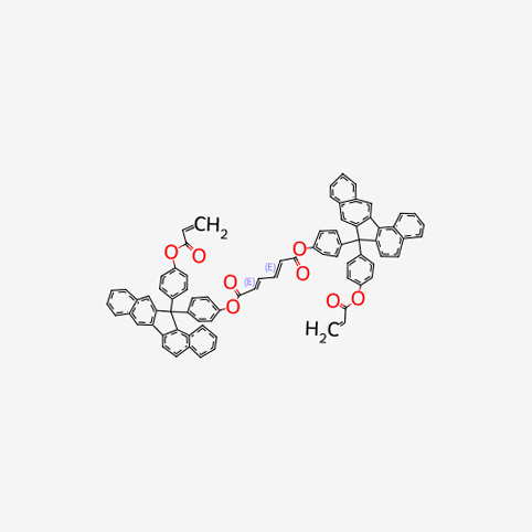 C=CC(=O)Oc1ccc(C2(c3ccc(OC(=O)/C=C/C=C/C(=O)Oc4ccc(C5(c6ccc(OC(=O)C=C)cc6)c6cc7ccccc7cc6-c6ccc7ccccc7c65)cc4)cc3)c3cc4ccccc4cc3-c3c2ccc2ccccc32)cc1